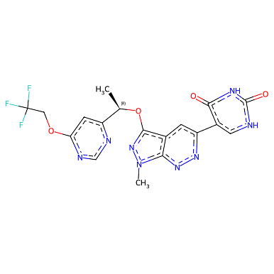 C[C@@H](Oc1nn(C)c2nnc(-c3c[nH]c(=O)[nH]c3=O)cc12)c1cc(OCC(F)(F)F)ncn1